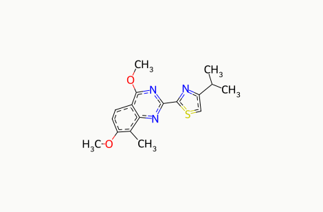 COc1ccc2c(OC)nc(-c3nc(C(C)C)cs3)nc2c1C